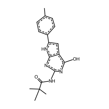 Cc1ccc(-c2cc3c(O)nc(NC(=O)C(C)(C)C)nc3[nH]2)cc1